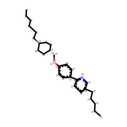 CCCCCC[C@H]1CC[C@H](COc2ccc(-c3ccc(CCCCC)cn3)cc2)CC1